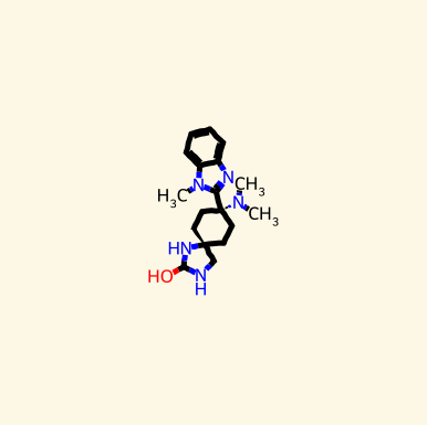 Cn1c2ccccc2nc1[C@]1(N(C)C)CC[C@@]2(CC1)CNC(O)N2